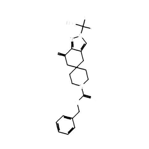 CC(C)(C)n1cc2c(n1)C(=O)CC1(CCN(C(=O)OCc3ccccc3)CC1)C2